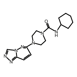 O=C(NC1CCCCC1)N1CCN(c2ccc3nncn3n2)CC1